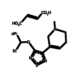 CCCC(CC)Oc1nsnc1C1=CCCN(C)C1.O=C(O)C=CC(=O)O